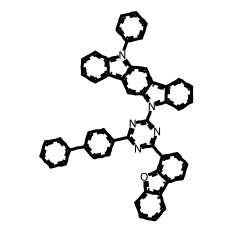 c1ccc(-c2ccc(-c3nc(-c4cccc5c4oc4ccccc45)nc(-n4c5ccccc5c5cc6c(cc54)c4ccccc4n6-c4ccccc4)n3)cc2)cc1